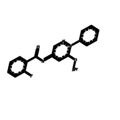 CCCOc1cc(=NC(=O)c2ccccc2F)cnn1-c1ccccc1